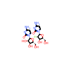 Nc1ccn([C@@H]2O[C@H](CO)[C@@H](O)[C@H]2F)c(=O)n1.Nc1ccn([C@@H]2O[C@H](CO)[C@@H](O)[C@H]2O)c(=O)n1